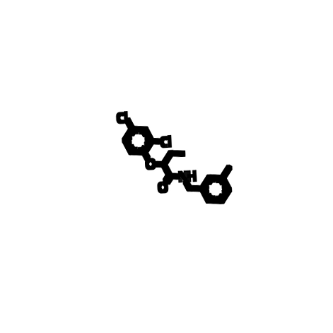 CCC(Oc1ccc(Cl)cc1Cl)C(=O)NCc1cccc(C)c1